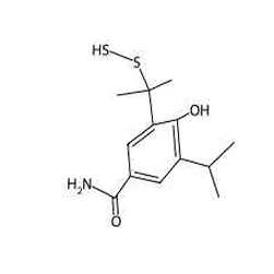 CC(C)c1cc(C(N)=O)cc(C(C)(C)SS)c1O